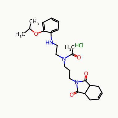 CC(=O)N(CCCN1C(=O)C2CC=CCC2C1=O)CCNc1ccccc1OC(C)C.Cl